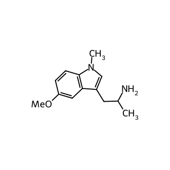 COc1ccc2c(c1)c(CC(C)N)cn2C